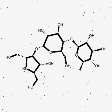 C[C@H]1O[C@@H](O[C@H]2[C@H](O)[C@@H](O)[C@@H](O[C@H]3[C@H](O)[C@@H](CO)N[C@@H]3CO)O[C@@H]2CO)[C@H](O)[C@@H](O)[C@@H]1O